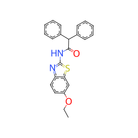 CCOc1ccc2nc(NC(=O)C(c3ccccc3)c3ccccc3)sc2c1